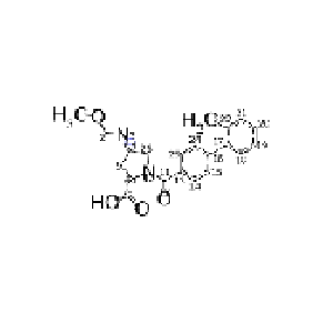 COC/N=C1\C[C@@H](C(=O)O)N(C(=O)c2ccc(-c3ccccc3C)cc2)C1